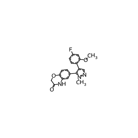 COc1cc(F)ccc1-c1cnn(C)c1-c1ccc2c(c1)NC(=O)CO2